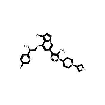 Cc1c(-c2cc(OC[C@H](O)c3ccc(F)cn3)c3c(Cl)cnn3c2)nnn1C1CCN(C2COC2)CC1